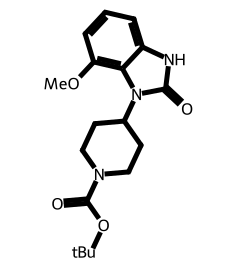 COc1cccc2[nH]c(=O)n(C3CCN(C(=O)OC(C)(C)C)CC3)c12